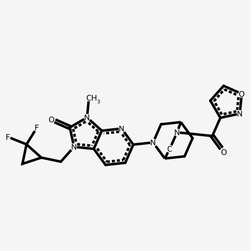 Cn1c(=O)n(CC2CC2(F)F)c2ccc(N3CC4CCC3CN4C(=O)c3ccon3)nc21